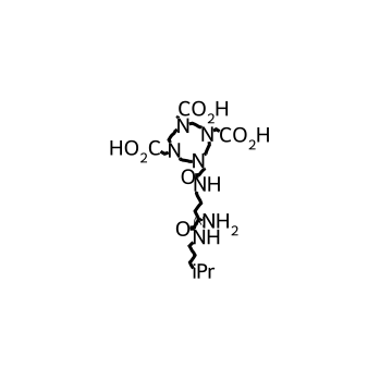 CC(C)CCCNC(=O)[C@H](N)CCCNC(=O)CN1CCN(CC(=O)O)CCN(CC(=O)O)CCN(CC(=O)O)CC1